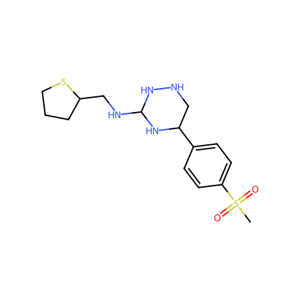 CS(=O)(=O)c1ccc(C2CNNC(NCC3CCCS3)N2)cc1